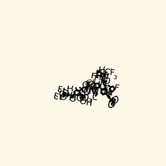 CCOP(=O)(CNC(=O)c1cc(C)c(C(C)(C)CC(=O)N(c2nn(CC(F)(F)F)c3c(-c4ccc(C#CC(C)(C)S(C)(=O)=O)nc4[C@H](Cc4cc(F)cc(F)c4)NC(=O)Cn4nc(C(F)(F)F)c5c4C(F)(F)C4C[C@H]54)ccc(Cl)c23)S(C)(=O)=O)c(OP(=O)(O)O)c1)OCC